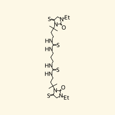 CCN1CC(=S)N(C(C)(C)CCNC(=S)NCCCNC(=S)NCCC(C)(C)N2C(=O)N(CC)CC2=S)C1=O